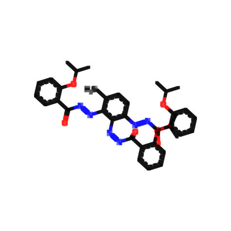 CC(C)Oc1ccccc1C(=O)N=Nc1ccc([SiH3])c(N=NC(=O)c2ccccc2OC(C)C)c1N=NC(=O)c1ccccc1OC(C)C